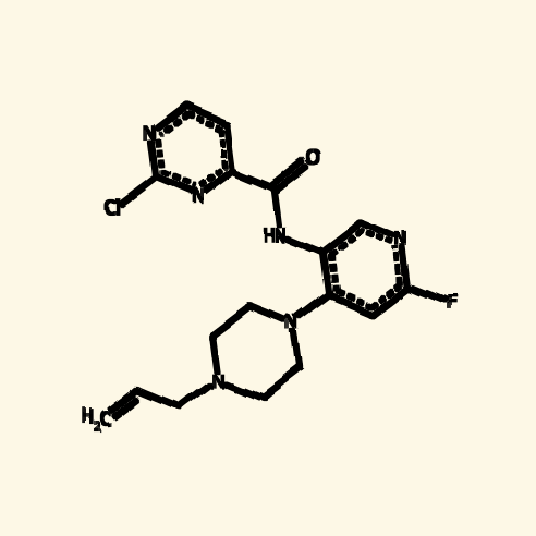 C=CCN1CCN(c2cc(F)ncc2NC(=O)c2ccnc(Cl)n2)CC1